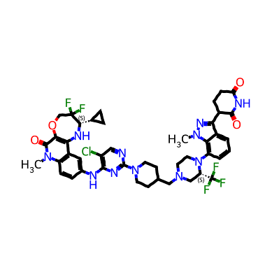 Cn1nc(C2CCC(=O)NC2=O)c2cccc(N3CCN(CC4CCN(c5ncc(Cl)c(Nc6ccc7c(c6)c6c(c(=O)n7C)OCC(F)(F)[C@H](C7CC7)N6)n5)CC4)C[C@H]3C(F)(F)F)c21